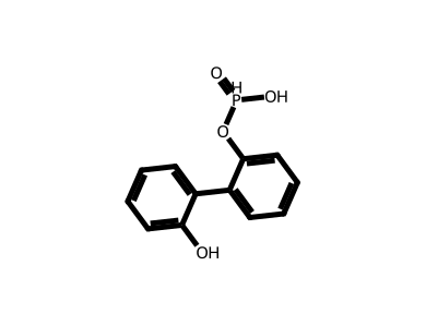 O=[PH](O)Oc1ccccc1-c1ccccc1O